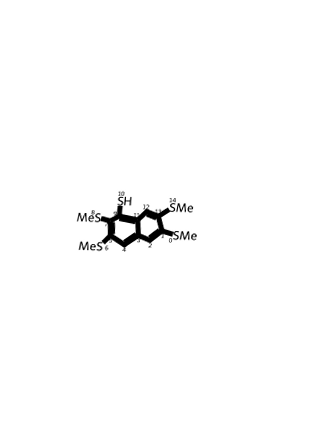 CSc1cc2cc(SC)c(SC)c(S)c2cc1SC